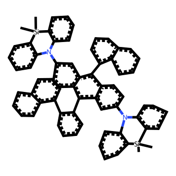 C[Si]1(C)c2ccccc2N(c2ccc3c(-c4cccc5ccccc45)c4cc(N5c6ccccc6[Si](C)(C)c6ccccc65)ccc4c(-c4ccccc4-c4cccc5ccccc45)c3c2)c2ccccc21